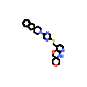 c1ccc2c(c1)CC1(CCN(c3cnc(SCc4ccnc5c4OCC4(CCOCC4)N5)cn3)CC1)C2